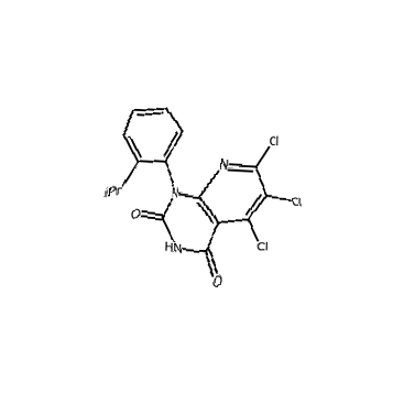 CC(C)c1ccccc1-n1c(=O)[nH]c(=O)c2c(Cl)c(Cl)c(Cl)nc21